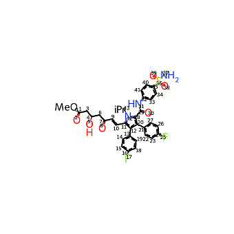 COC(=O)C[C@H](O)CC(=O)C=Cc1c(-c2ccc(F)cc2)c(-c2ccc(F)cc2)c(C(=O)Nc2ccc(S(N)(=O)=O)cc2)n1C(C)C